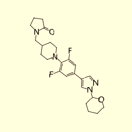 O=C1CCCN1CC1CCN(c2c(F)cc(-c3cnn(C4CCCCO4)c3)cc2F)CC1